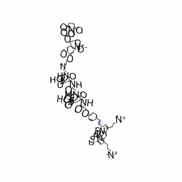 COc1cc(C(C)OC(=O)ON2C(=O)CCC2=O)c([N+](=O)[O-])cc1OCCN(C)CCNC(=O)C(CS(=O)(=O)O)NC(=O)CNC(=O)C(CS(=O)(=O)O)NC(=O)COc1ccc(/C=C/C2=[N+]3C(=Cc4c(CCC[N+](C)(C)C)cc(-c5cccs5)n4[B-]3(F)F)C(CCC[N+](C)(C)C)=C2)cc1